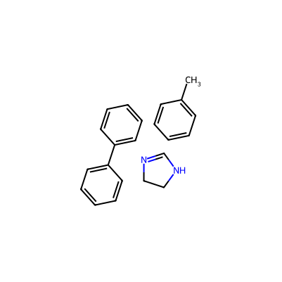 C1=NCCN1.Cc1ccccc1.c1ccc(-c2ccccc2)cc1